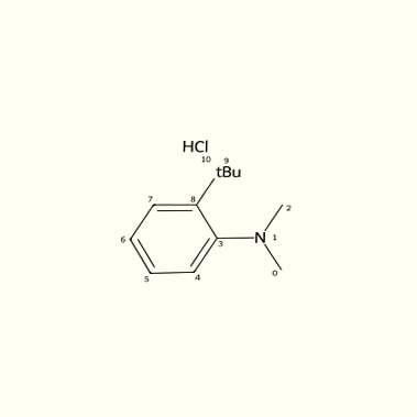 CN(C)c1ccccc1C(C)(C)C.Cl